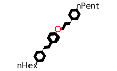 CCCCCC[C@H]1CC[C@H](CCc2ccc(OCCC[C@H]3CC[C@H](CCCCC)CC3)cc2)CC1